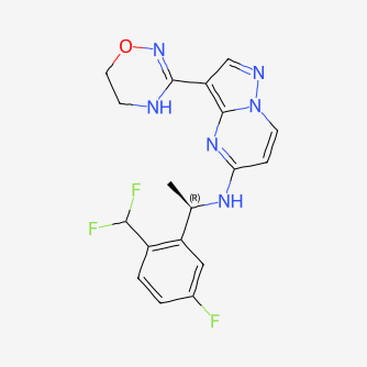 C[C@@H](Nc1ccn2ncc(C3=NOCCN3)c2n1)c1cc(F)ccc1C(F)F